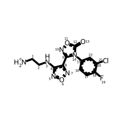 NCCNc1nonc1-c1noc(=O)n1-c1ccc(F)c(Cl)c1